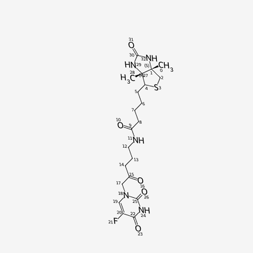 C[C@@]12CSC(CCCCC(=O)NCCCC(=O)Cn3cc(F)c(=O)[nH]c3=O)[C@]1(C)NC(=O)N2